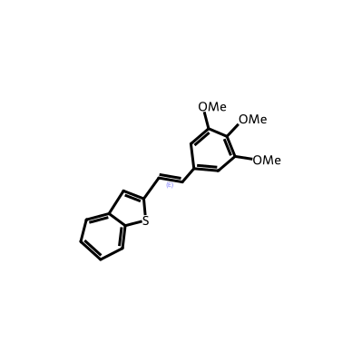 COc1cc(/C=C/c2cc3ccccc3s2)cc(OC)c1OC